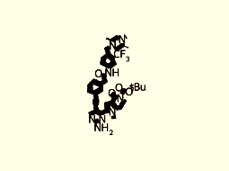 C[C@@H]1CN(Cc2ccc(NC(=O)Cc3cccc(C#Cc4cnc(N)nc4-c4cc5c(n4C)CCN(C(=O)OC(C)(C)C)C5=O)c3)cc2C(F)(F)F)[C@@H](C)CN1C